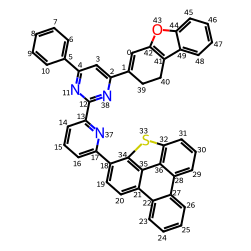 C1=C(c2cc(-c3ccccc3)nc(-c3cccc(-c4ccc5c6ccccc6c6cccc7sc4c5c76)n3)n2)CCc2c1oc1ccccc21